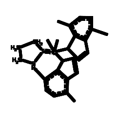 Cc1ccc(C)c2c1C=C[CH]2[Hf]([CH3])([CH3])([CH]1C=Cc2c(C)ccc(C)c21)=[Si]1[SiH2][SiH2][SiH2][SiH2]1